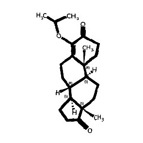 CC(C)OC1=C2CC[C@@H]3[C@H](CC[C@]4(C)C(=O)CC[C@@H]34)[C@@]2(C)CCC1=O